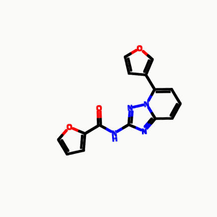 O=C(Nc1nc2cccc(-c3ccoc3)n2n1)c1ccco1